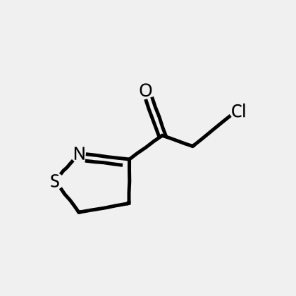 O=C(CCl)C1=NSCC1